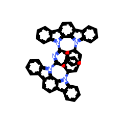 c1ccc(-n2c3ccccc3c3ccc4c5ccccc5n(-c5cccc(-n6c7ccccc7c7ccc8c9ccccc9n(-c9ccccc9)c8c76)n5)c4c32)cc1